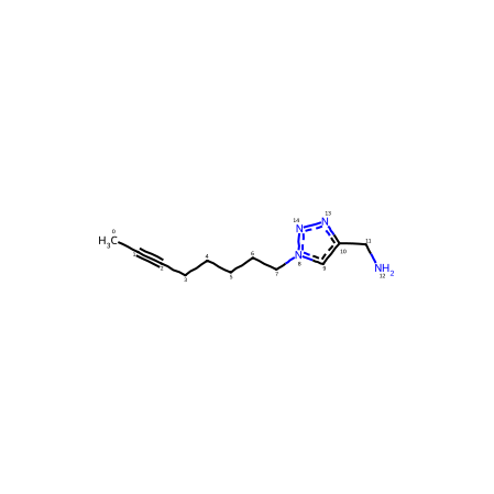 CC#CCCCCCn1cc(CN)nn1